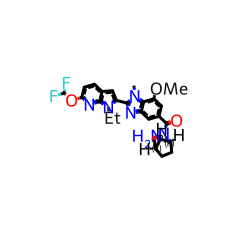 CCn1c(-c2nc3cc(C(=O)N4C[C@H]5CC[C@@H]4[C@@H]5N)cc(OC)c3n2C)cc2ccc(OC(F)F)nc21